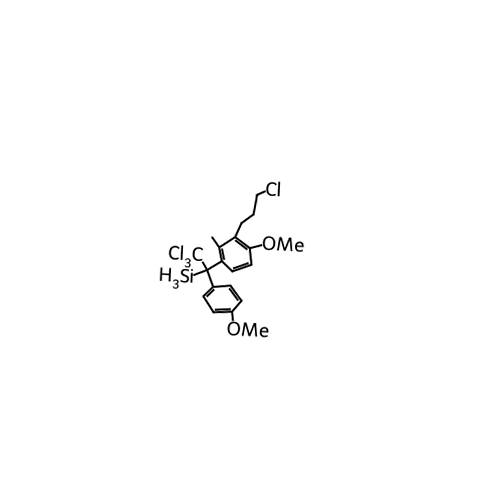 COc1ccc(C([SiH3])(c2ccc(OC)c(CCCCl)c2C)C(Cl)(Cl)Cl)cc1